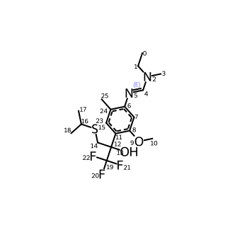 CCN(C)/C=N/c1cc(OC)c(C(O)(CSC(C)C)C(F)(F)F)cc1C